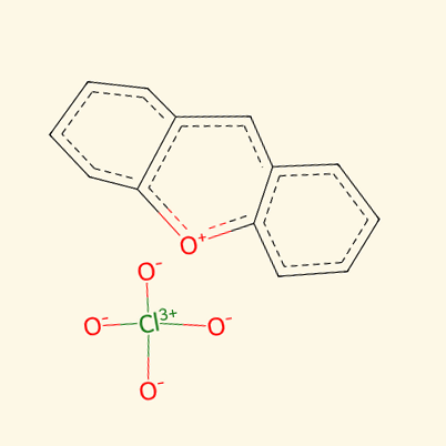 [O-][Cl+3]([O-])([O-])[O-].c1ccc2[o+]c3ccccc3cc2c1